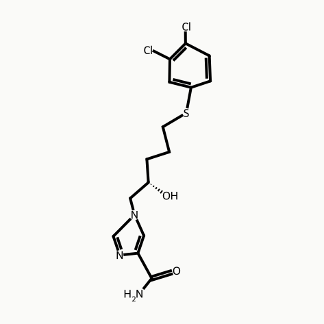 NC(=O)c1cn(C[C@@H](O)CCCSc2ccc(Cl)c(Cl)c2)cn1